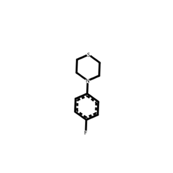 Fc1ccc(N2CCSCC2)cc1